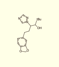 CC(C)(C)C(O)C(CCc1ccc2c(c1)OCO2)n1cncn1